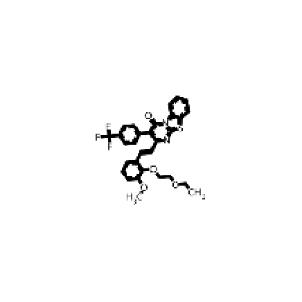 CCOCCOc1c(C=Cc2nc3sc4ccccc4n3c(=O)c2-c2ccc(C(F)(F)F)cc2)cccc1OC